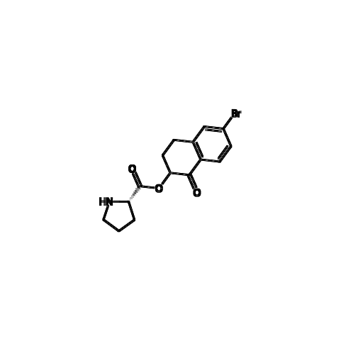 O=C1c2ccc(Br)cc2CCC1OC(=O)[C@@H]1CCCN1